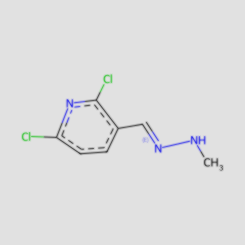 CN/N=C/c1ccc(Cl)nc1Cl